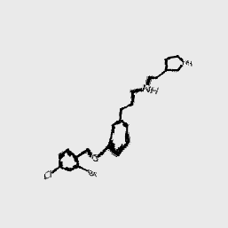 Clc1ccc(COc2cccc(CCCNCC3CCNC3)c2)c(Br)c1